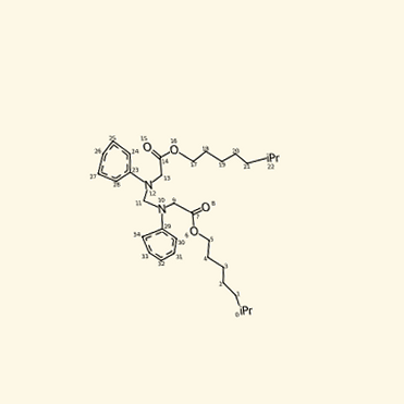 CC(C)CCCCCOC(=O)CN(CN(CC(=O)OCCCCCC(C)C)c1ccccc1)c1ccccc1